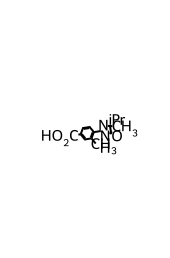 Cc1cc(C(=O)O)ccc1C1=NC(C)(C(C)C)C(=O)N1